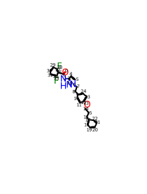 O=C(Nc1ccn(CCc2ccc(OCCCc3ccccc3)cc2)n1)c1c(F)cccc1F